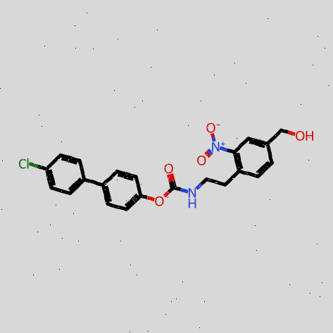 O=C(NCCc1ccc(CO)cc1[N+](=O)[O-])Oc1ccc(-c2ccc(Cl)cc2)cc1